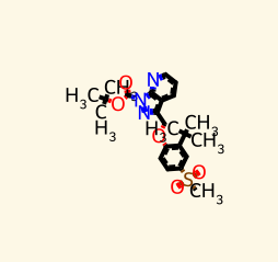 CC(C)(C)OC(=O)n1nc(COc2ccc(S(C)(=O)=O)cc2C(C)(C)C)c2cccnc21